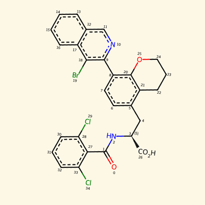 O=C(N[C@@H](Cc1ccc(-c2ncc3ccccc3c2Br)c2c1CCCO2)C(=O)O)c1c(Cl)cccc1Cl